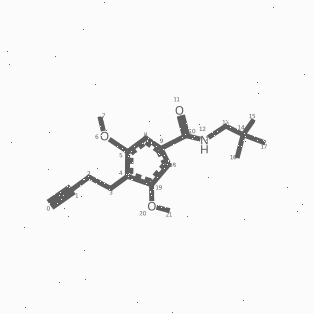 C#CCCc1c(OC)cc(C(=O)NCC(C)(C)C)cc1OC